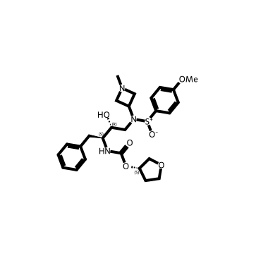 COc1ccc([S+]([O-])N(C[C@@H](O)[C@H](Cc2ccccc2)NC(=O)O[C@H]2CCOC2)C2CN(C)C2)cc1